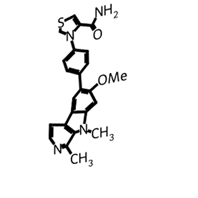 COc1cc2c(cc1-c1ccc(N3CSC=C3C(N)=O)cc1)c1ccnc(C)c1n2C